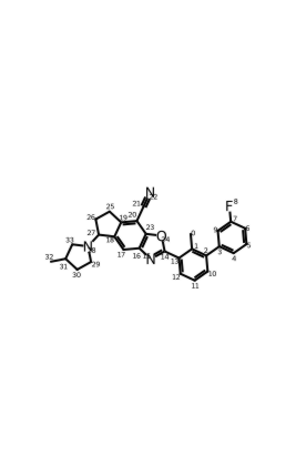 Cc1c(-c2cccc(F)c2)cccc1-c1nc2cc3c(c(C#N)c2o1)CCC3N1CCC(C)C1